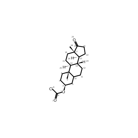 C[C@]12CC[C@H](OC(=O)Cl)CC1CC[C@@H]1[C@@H]2CC[C@]2(C)C(=O)CC[C@@H]12